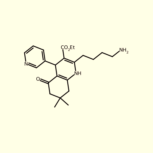 CCOC(=O)C1=C(CCCCN)NC2=C(C(=O)CC(C)(C)C2)C1c1cccnc1